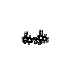 O=C(Nc1ccc2c(c1)NCCO2)c1c[nH]c2ccccc2c1=O